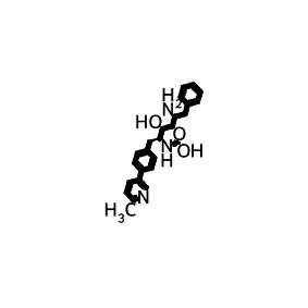 Cc1ccc(-c2ccc(C[C@H](NC(=O)O)[C@H](O)C[C@@H](N)Cc3ccccc3)cc2)cn1